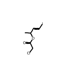 CC(/C=C/I)OC(=O)CCl